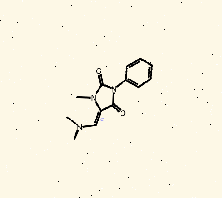 CN(C)/C=C1/C(=O)N(c2ccccc2)C(=O)N1C